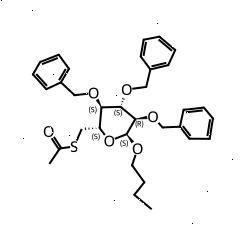 CCCCO[C@H]1O[C@H](CSC(C)=O)[C@@H](OCc2ccccc2)[C@H](OCc2ccccc2)[C@H]1OCc1ccccc1